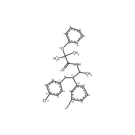 CC(NC(=O)C(C)(C)Oc1ccccn1)C(Cc1ccc(Cl)cc1)c1cccc(F)c1